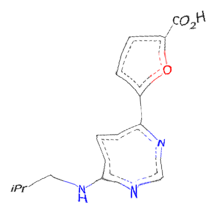 CC(C)CNc1cc(-c2ccc(C(=O)O)o2)ncn1